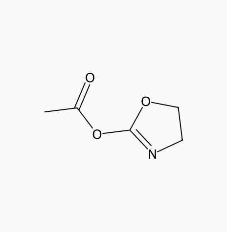 CC(=O)OC1=NCCO1